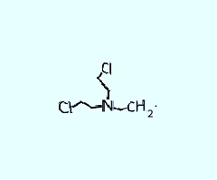 [CH2]CN(CCCl)CCCl